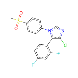 CS(=O)(=O)c1ccc(-n2cnc(Cl)c2-c2ccc(F)cc2F)cc1